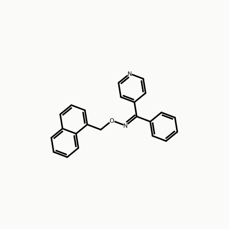 c1ccc(C(=NOCc2cccc3ccccc23)c2ccncc2)cc1